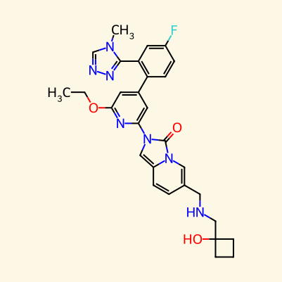 CCOc1cc(-c2ccc(F)cc2-c2nncn2C)cc(-n2cc3ccc(CNCC4(O)CCC4)cn3c2=O)n1